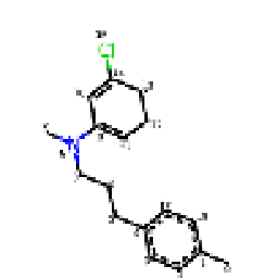 Cc1ccc(CCCN(C)C2=CC[CH]C(Cl)=C2)cc1